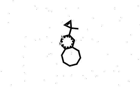 CC1(c2cc3c(nn2)CCCCCC3)C=C1